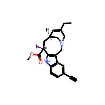 C#Cc1ccc2[nH]c3c(c2c1)CN1CC(CC)=C[C@@H](C1)C[C@@]3(I)C(=O)OC